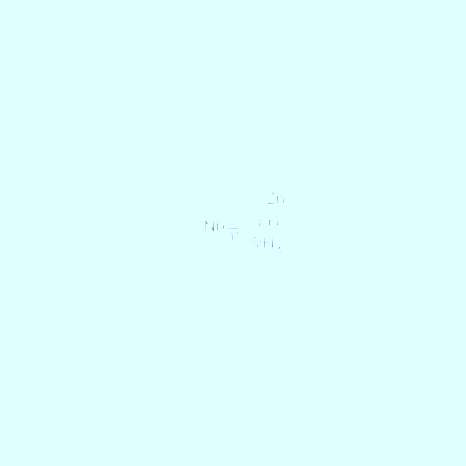 [KH].[Nb].[SiH4].[Ti].[Zn]